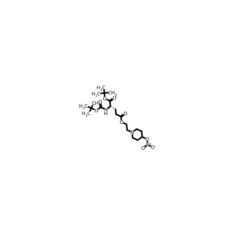 CC(C)(C)OC(=O)N[C@@H](CCC(=O)OCCN1CCC(O[N+](=O)[O-])CC1)C(=O)OC(C)(C)C